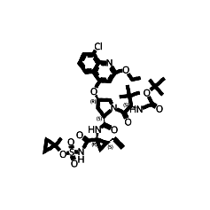 C=C[C@@H]1C[C@]1(NC(=O)[C@@H]1C[C@@H](Oc2cc(OCC)nc3c(Cl)cccc23)CN1C(=O)[C@@H](NC(=O)OC(C)(C)C)C(C)(C)C)C(=O)NS(=O)(=O)OC1(C)CC1